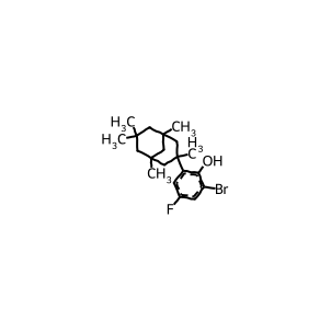 CC1(C)CC2(C)CC(C)(C1)CC(C)(c1cc(F)cc(Br)c1O)C2